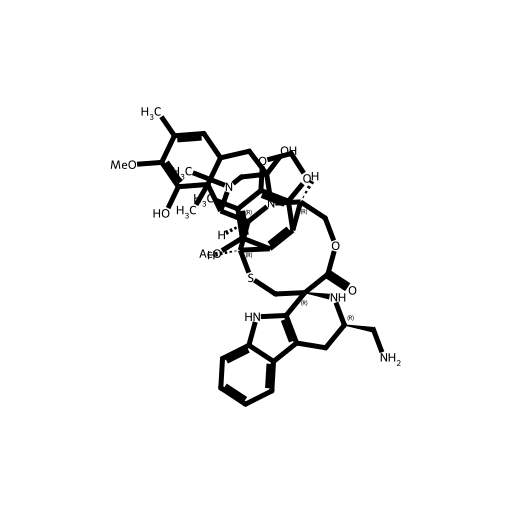 COC1=C(O)C2(C)C(C=C1C)CC1(O)CN(C)C2[C@@H]2[C@@H]3SC[C@]4(N[C@@H](CN)Cc5c4[nH]c4ccccc54)C(=O)OC[C@@H](c4c5c(c(C)c(OC(C)=O)c43)OCO5)N21